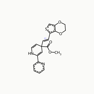 COC(=O)C1(/C=C/c2scc3c2OCCO3)C=CNC(c2ccccn2)=C1